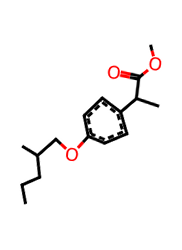 CCCC(C)COc1ccc(C(C)C(=O)OC)cc1